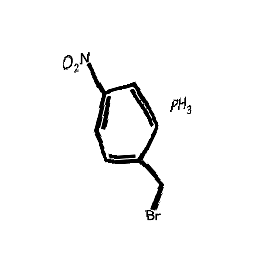 O=[N+]([O-])c1ccc(CBr)cc1.P